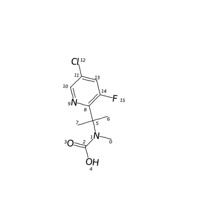 CN(C(=O)O)C(C)(C)c1ncc(Cl)cc1F